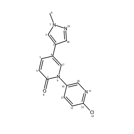 Cn1cc(-c2ccc(=O)n(-c3ccc(Cl)nc3)c2)cn1